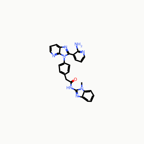 Cn1c(NC(=O)Cc2ccc(-n3c(-c4cccnc4N)nc4cccnc43)cc2)nc2ccccc21